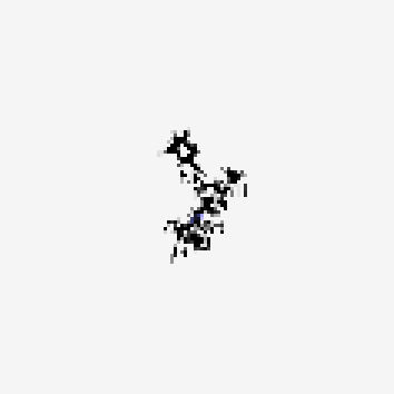 Cc1cc(C)cc(CNc2cc(NC3CC3)n3ncc(/C=C4\NC(=O)NC4=O)c3n2)c1